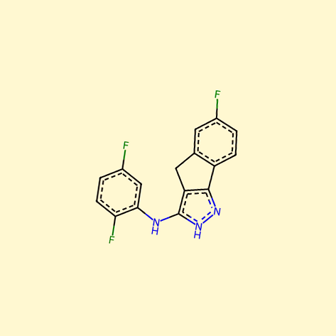 Fc1ccc2c(c1)Cc1c-2n[nH]c1Nc1cc(F)ccc1F